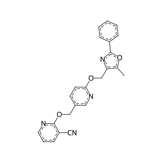 Cc1oc(-c2ccccc2)nc1COc1ccc(COc2ncccc2C#N)cn1